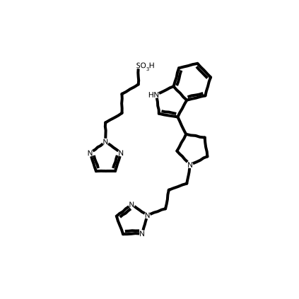 O=S(=O)(O)CCCCn1nccn1.c1ccc2c(C3CCN(CCCn4nccn4)C3)c[nH]c2c1